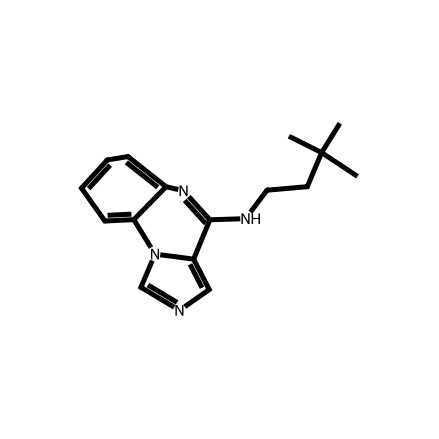 CC(C)(C)CCNc1nc2ccccc2n2cncc12